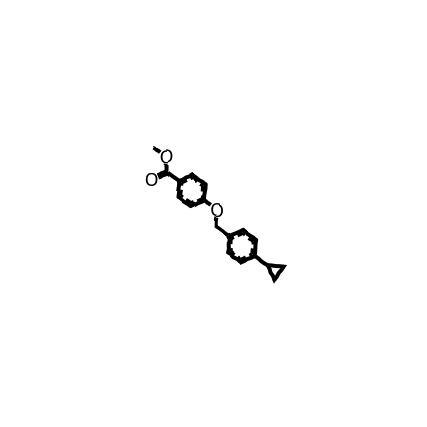 COC(=O)c1ccc(OCc2ccc(C3CC3)cc2)cc1